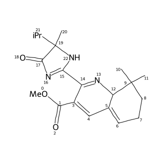 COC(=O)C1=CC2=CCCC(C)(C)C2N=C1C1=NC(=O)C(C)(C(C)C)N1